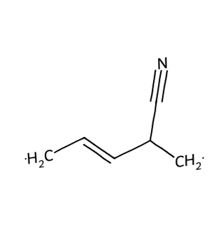 [CH2]C=CC([CH2])C#N